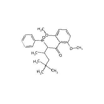 COc1cccc(OC)c1C(=O)C(C(C)CC(C)(C)C)[P](=O)c1ccccc1